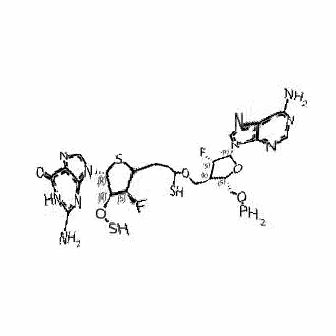 Nc1nc2c(ncn2[C@@H]2SC(CC(S)OC[C@H]3[C@H](F)[C@H](n4cnc5c(N)ncnc54)O[C@@H]3COP)[C@@H](F)[C@H]2OS)c(=O)[nH]1